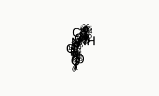 CCCCOC(=O)N1CCN(C(=O)c2ccc(C(=O)Nc3nc(-c4ccccc4Cl)cs3)nc2)CC1